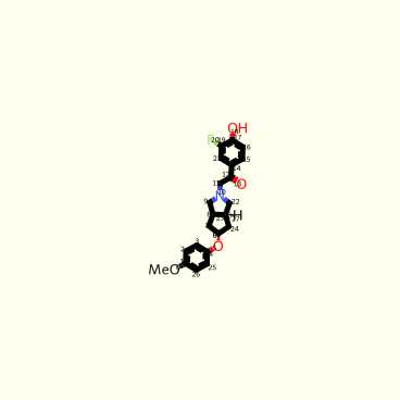 COc1ccc(O[C@H]2CC3CN(CC(=O)c4ccc(O)c(F)c4)C[C@H]3C2)cc1